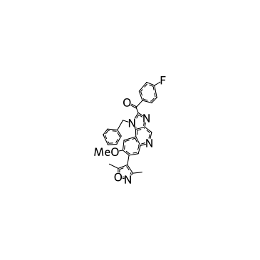 COc1cc2c(cc1-c1c(C)noc1C)ncc1nc(C(=O)c3ccc(F)cc3)n(Cc3ccccc3)c12